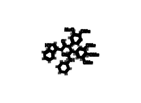 COc1ccc(N(C(=O)Cc2c[nH]c3ccccc23)C(C(=O)NC2CCCCC2)c2cc(OC)c(OC)c(OC)c2)cc1OC